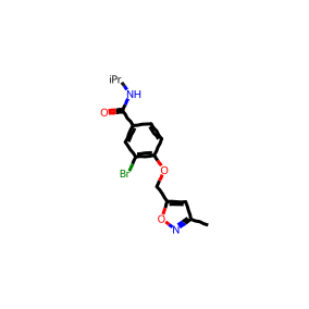 Cc1cc(COc2ccc(C(=O)NC(C)C)cc2Br)on1